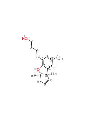 Cc1cc(CCCCO)c2c(c1)[C@H]1C=CC[C@H]1O2